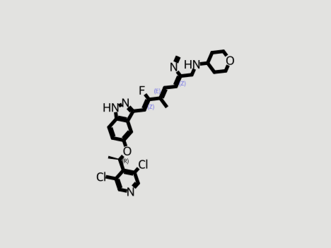 C=N\C(=C/C=C(C)/C(F)=C/c1n[nH]c2ccc(O[C@H](C)c3c(Cl)cncc3Cl)cc12)CNC1CCOCC1